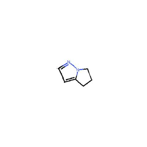 [c]1cc2n(n1)CCC2